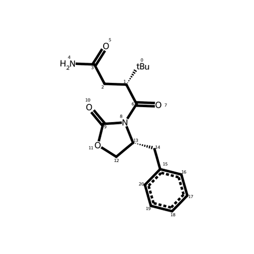 CC(C)(C)[C@@H](CC(N)=O)C(=O)N1C(=O)OC[C@H]1Cc1ccccc1